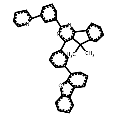 CC1(C)c2ccccc2-c2nc(-c3cccc(-c4ccccn4)c3)nc(-c3cccc(-c4cccc5c4oc4ccccc45)c3)c21